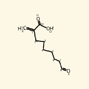 C=C(CCCCCCC=O)C(=O)O